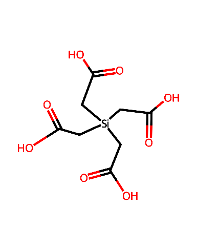 O=C(O)C[Si](CC(=O)O)(CC(=O)O)CC(=O)O